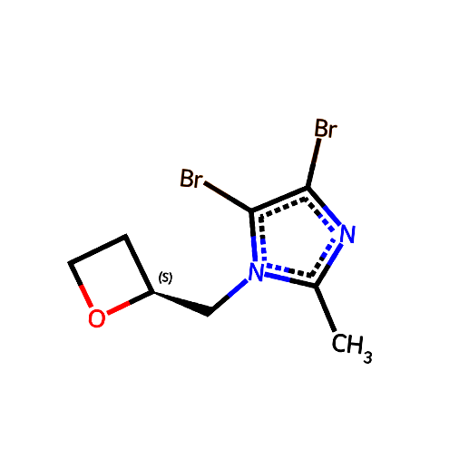 Cc1nc(Br)c(Br)n1C[C@@H]1CCO1